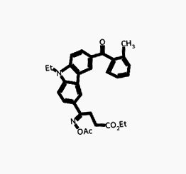 CCOC(=O)CC/C(=N\OC(C)=O)c1ccc2c(c1)c1cc(C(=O)c3ccccc3C)ccc1n2CC